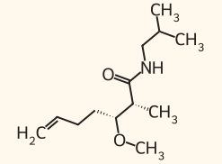 C=CCC[C@@H](OC)[C@@H](C)C(=O)NCC(C)C